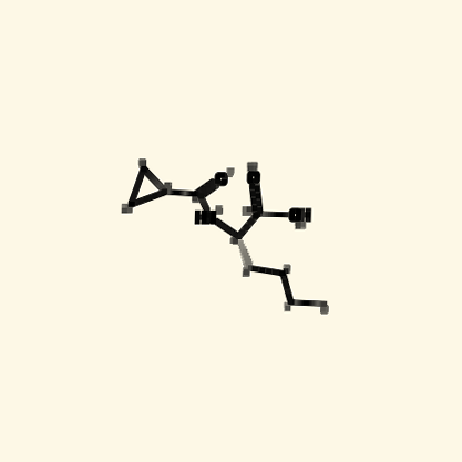 CCCC[C@H](NC(=O)C1CC1)C(=O)O